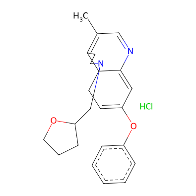 CC1=C2CCN(CC3CCCO3)C23CC=C(Oc2ccccc2)C=C3N=C1.Cl